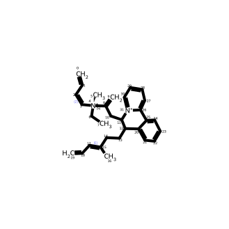 C=C/C=C\[N@+](C)(CC)C(=C)CC1C(CC/C(C)=C/C=C)c2ccccc2-c2cccc[n+]21